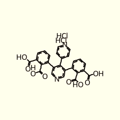 Cl.Cl.O=C(O)c1cccc(-c2cncc(-c3cccc(C(=O)O)c3C(=O)O)c2-c2ccncc2)c1C(=O)O